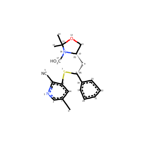 Cc1cnc(C#N)c(S[C@H](C[C@H]2COC(C)(C)N2C(=O)O)c2ccccc2)c1